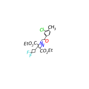 CCOC(=O)c1nn(CC(=O)c2ccc(C)c(Cl)c2)c(C(=O)OCC)c1C1CC(F)(F)C1